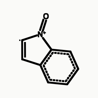 O=[N+]1[C]=Cc2ccccc21